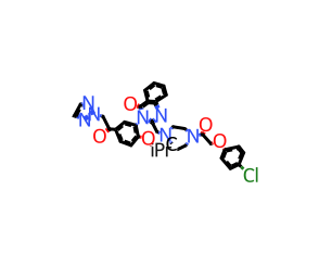 CC(C)Oc1ccc(C(=O)Cn2nccn2)cc1-n1c(CN2CCCN(C(=O)COc3ccc(Cl)cc3)CC2)nc2ccccc2c1=O